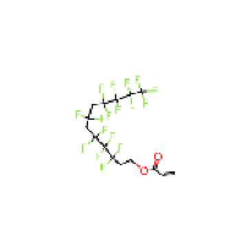 C=CC(=O)OCCC(F)(F)C(F)(F)C(F)(F)CC(F)(F)CC(F)(F)C(F)(F)C(F)(F)C(F)(F)F